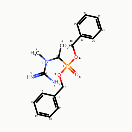 CN(C(=N)N)C(C(=O)O)P(=O)(OCc1ccccc1)OCc1ccccc1